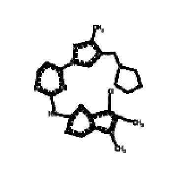 Cc1nn(-c2ccnc(Nc3ccc4c(c3)c(Cl)c(C)n4C)n2)cc1CN1CCCC1